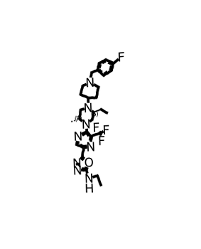 CCNc1nnc(-c2cnc(N3C[C@H](CC)N(C4CCN(Cc5ccc(F)cc5)CC4)C[C@H]3C)c(C(F)(F)F)n2)o1